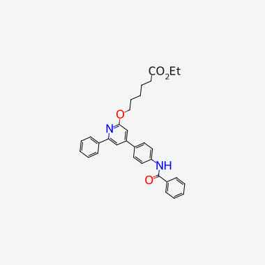 CCOC(=O)CCCCCOc1cc(-c2ccc(NC(=O)c3ccccc3)cc2)cc(-c2ccccc2)n1